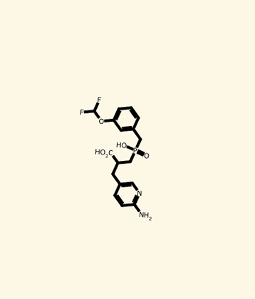 Nc1ccc(CC(CP(=O)(O)Cc2cccc(OC(F)F)c2)C(=O)O)cn1